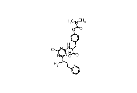 CN(C)C(=O)Oc1ccc(C[C@H](Nc2nc(Cl)nc(N(C)CCc3ccccn3)n2)C(=O)O)cc1